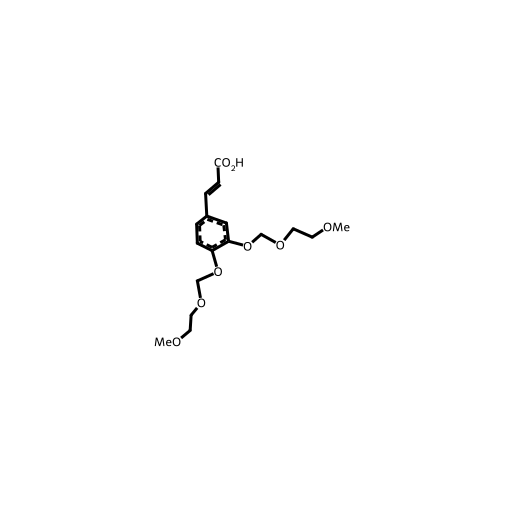 COCCOCOc1ccc(C=CC(=O)O)cc1OCOCCOC